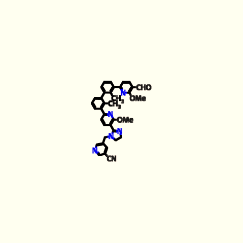 COc1nc(-c2cccc(-c3cccc(-c4ccc(C5=NCCN5Cc5cncc(C#N)c5)c(OC)n4)c3C)c2C)ccc1C=O